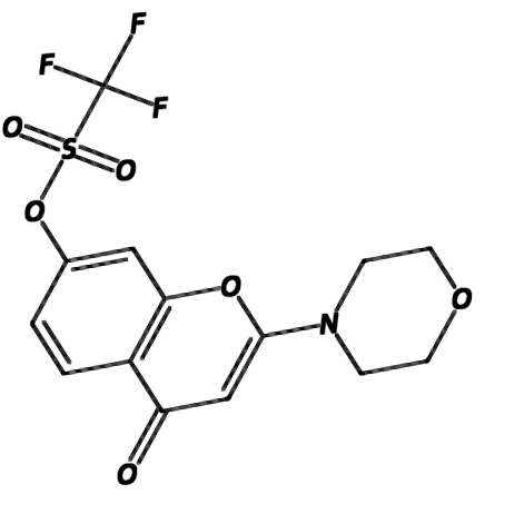 O=c1cc(N2CCOCC2)oc2cc(OS(=O)(=O)C(F)(F)F)ccc12